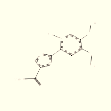 CCCCOc1cc(-c2nc(C(=O)OC)co2)[n+](O)cc1OCCCC